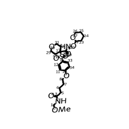 COCNC(=O)CCCCOc1ccc(S(=O)(=O)C2(C(=O)NOC3CCCCO3)CCOCC2)cc1